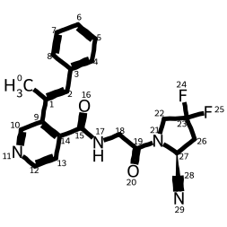 C/C(=C\c1ccccc1)c1cnccc1C(=O)NCC(=O)N1CC(F)(F)C[C@H]1C#N